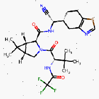 CC(C)(C)[C@H](NC(=O)C(F)(F)F)C(=O)N1C[C@H]2[C@@H]([C@H]1C(=O)N[C@H](C#N)[C@@H]1CCc3scnc3C1)C2(C)C